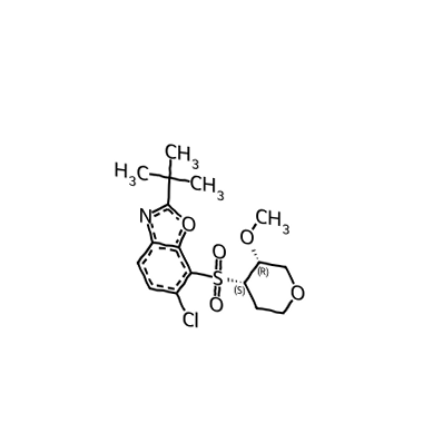 CO[C@@H]1COCC[C@@H]1S(=O)(=O)c1c(Cl)ccc2nc(C(C)(C)C)oc12